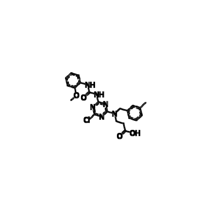 COc1ccccc1NC(=O)Nc1nc(Cl)nc(N(CCC(=O)O)Cc2cccc(C)c2)n1